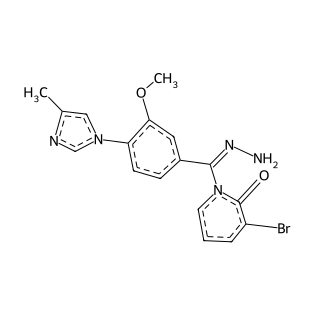 COc1cc(/C(=N/N)n2cccc(Br)c2=O)ccc1-n1cnc(C)c1